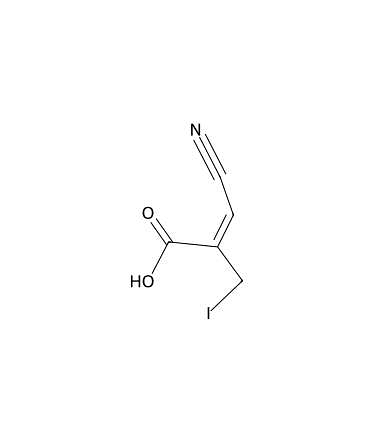 N#C/C=C(/CI)C(=O)O